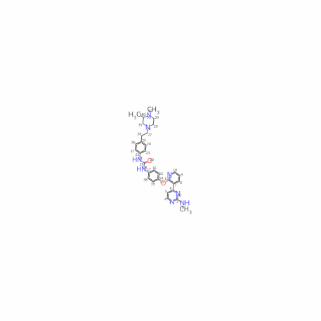 CNc1nccc(-c2cccnc2Oc2ccc(NC(=O)Nc3ccc(CCN4CCN(C)C(C)C4)cc3)cc2)n1